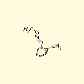 [CH2]c1ccccc1/C=N/OC